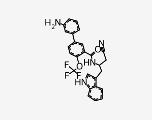 N#CCC(Cc1c[nH]c2ccccc12)NC(=O)c1cc(-c2cccc(N)c2)ccc1OC(F)(F)F